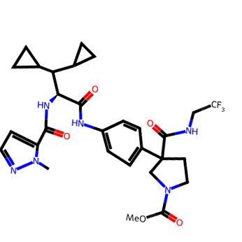 COC(=O)N1CCC(C(=O)NCC(F)(F)F)(c2ccc(NC(=O)[C@@H](NC(=O)c3ccnn3C)C(C3CC3)C3CC3)cc2)C1